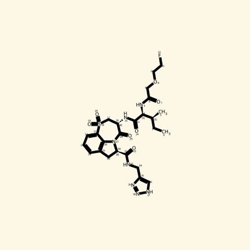 CC[C@H](C)[C@H](NC(=O)COCCF)C(=O)N[C@H]1CS(=O)(=O)c2cccc3c2N(C1=O)[C@@H](C(=O)NCc1c[nH]nn1)C3